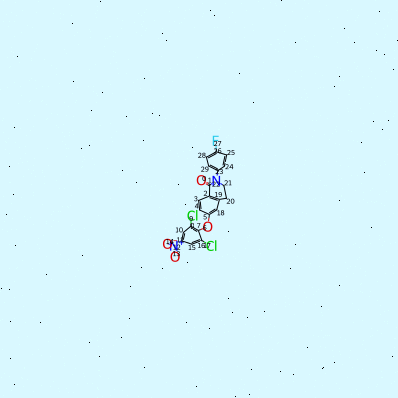 O=C1c2ccc(Oc3c(Cl)cc([N+](=O)[O-])cc3Cl)cc2CCN1c1ccc(F)cc1